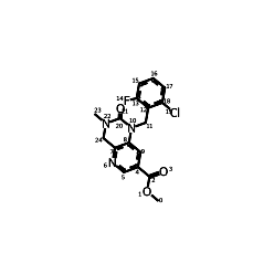 COC(=O)c1cnc2c(c1)N(Cc1c(F)cccc1Cl)C(=O)N(C)C2